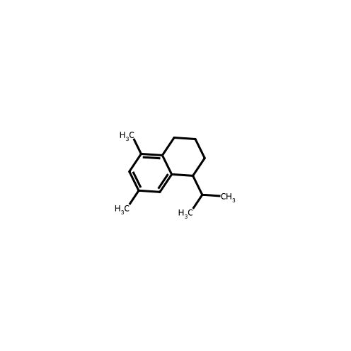 Cc1cc(C)c2c(c1)C(C(C)C)CCC2